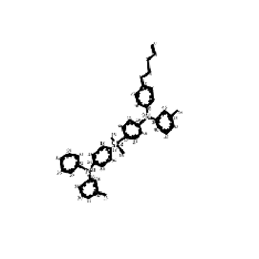 C=CCCCc1ccc(N(c2ccc([Si](C)(C)c3ccc(N(c4ccccc4)c4cccc(C)c4)cc3)cc2)c2cccc(C)c2)cc1